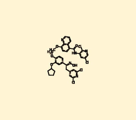 COc1ccc(C(=O)Nc2cc(Cl)cnc2Cl)c2cccnc12.COc1ccc(C(Cc2cc(Cl)nc(Cl)c2)=NO)cc1OC1CCCC1